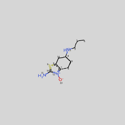 CCCNC1CCc2c(sc(N)[n+]2[O-])C1